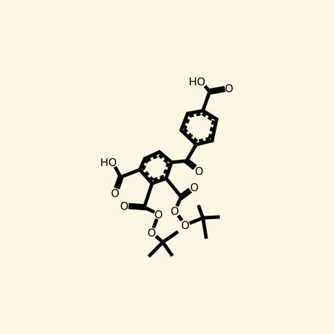 CC(C)(C)OOC(=O)c1c(C(=O)O)ccc(C(=O)c2ccc(C(=O)O)cc2)c1C(=O)OOC(C)(C)C